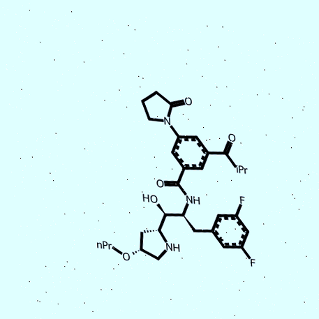 CCCO[C@H]1CN[C@@H]([C@@H](O)[C@H](Cc2cc(F)cc(F)c2)NC(=O)c2cc(C(=O)C(C)C)cc(N3CCCC3=O)c2)C1